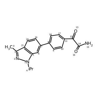 Cc1nn(C(C)C)c2cc(-c3ccc(C(=O)C(N)=O)cc3)ccc12